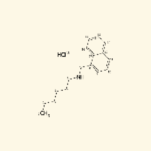 CCCCCCNCc1cccc2ccccc12.Cl